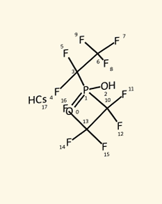 O=P(O)(C(F)(F)C(F)(F)F)C(F)(F)C(F)(F)F.[CsH]